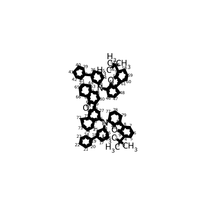 CC(C)(C)c1cccc2c1oc1c(N(c3cccc(-c4ccccc4)c3)c3cc4c5cc(N(c6cccc(-c7ccccc7)c6)c6cccc7c6oc6c(C(C)(C)C)cccc67)c6ccccc6c5oc4c4ccccc34)cccc12